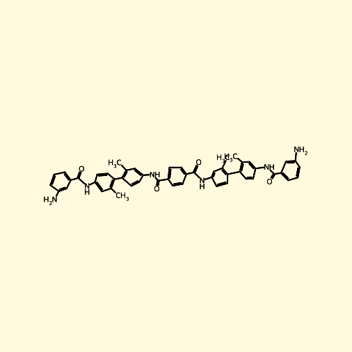 Cc1cc(NC(=O)c2ccc(C(=O)Nc3ccc(-c4ccc(NC(=O)c5cccc(N)c5)cc4C)c(C)c3)cc2)ccc1-c1ccc(NC(=O)c2cccc(N)c2)cc1C